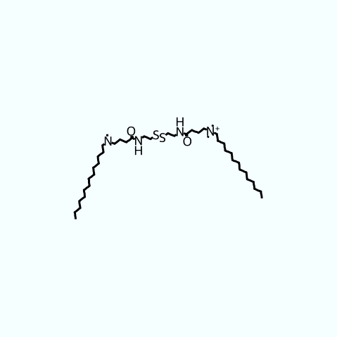 CCCCCCCCCCCCCCN(C)CCCC(=O)NCCSSCCNC(=O)CCC[N+](C)(C)CCCCCCCCCCCCCC